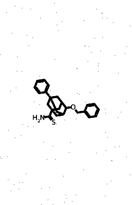 NC(=S)C12CC3CC(c4ccccc4)(CC(C1)C3OCc1ccccc1)C2